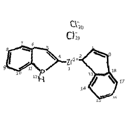 C1=C[CH]([Zr+2][c]2cc3ccccc3[pH]2)c2ccccc21.[Cl-].[Cl-]